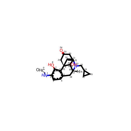 O=CNc1ccc2c(c1O)[C@]13C=CN(CC4CC4)[C@H](C2)[C@]1(O)CCC(=O)C3